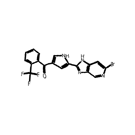 O=C(c1c[nH]c(-c2nc3cnc(Br)cc3[nH]2)c1)c1ccccc1C(F)(F)F